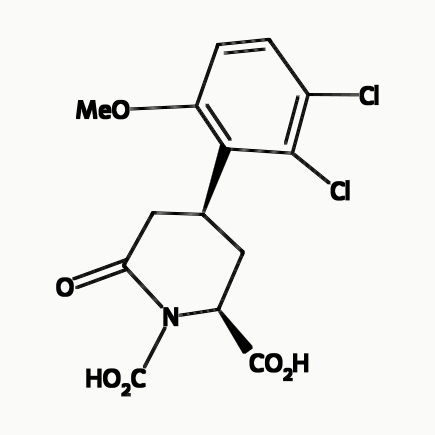 COc1ccc(Cl)c(Cl)c1[C@@H]1CC(=O)N(C(=O)O)[C@H](C(=O)O)C1